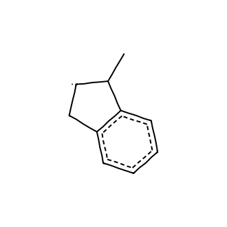 CC1[CH]Cc2ccccc21